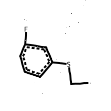 [CH2]CSc1cccc(F)c1